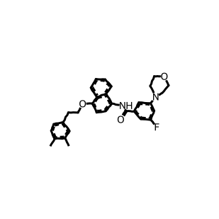 Cc1ccc(CCOc2ccc(NC(=O)c3cc(F)cc(N4CCOCC4)c3)c3ccccc23)cc1C